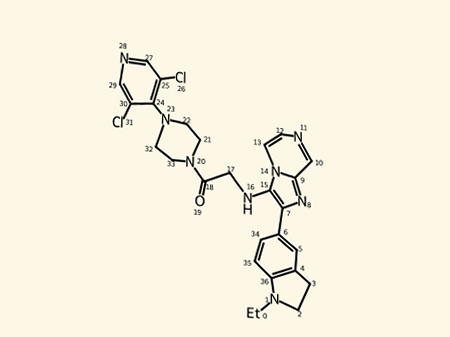 CCN1CCc2cc(-c3nc4cnccn4c3NCC(=O)N3CCN(c4c(Cl)cncc4Cl)CC3)ccc21